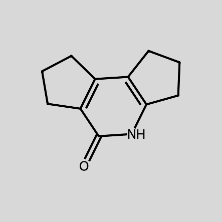 O=c1[nH]c2c(c3c1CCC3)CCC2